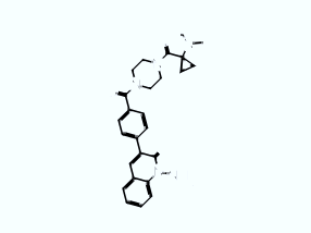 Nn1c(=O)c(-c2ccc(C(=O)N3CCN(C(=O)C4(N(I)I)CC4)CC3)cc2)cc2ccccc21